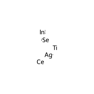 [Ag].[Ce].[In].[Se].[Ti]